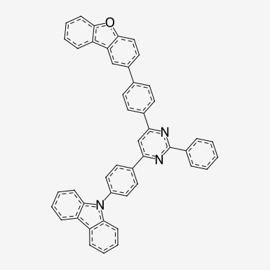 c1ccc(-c2nc(-c3ccc(-c4ccc5oc6ccccc6c5c4)cc3)cc(-c3ccc(-n4c5ccccc5c5ccccc54)cc3)n2)cc1